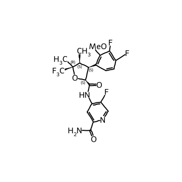 COc1c([C@H]2[C@@H](C(=O)Nc3cc(C(N)=O)ncc3F)O[C@@](C)(C(F)(F)F)[C@H]2C)ccc(F)c1F